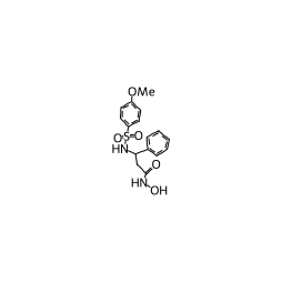 COc1ccc(S(=O)(=O)NC(CC(=O)NO)c2ccccc2)cc1